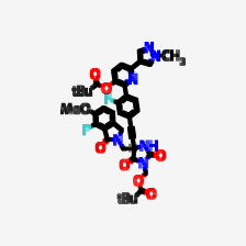 COc1ccc2c(c1F)C(=O)N(C[C@@]1(C#Cc3ccc(-c4nc(-c5cnn(C)c5)ccc4OC(=O)C(C)(C)C)c(F)c3)NC(=O)N(COC(=O)C(C)(C)C)C1=O)C2